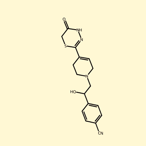 N#Cc1ccc(C(O)CN2CC=C(C3=NNC(=O)CS3)CC2)cc1